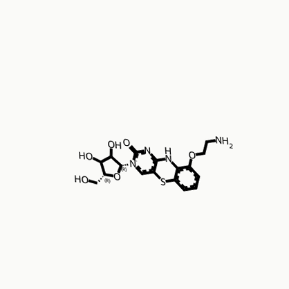 NCCOc1cccc2c1Nc1nc(=O)n([C@@H]3O[C@H](CO)C(O)C3O)cc1S2